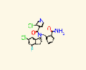 NC(=O)c1ccccc1CN(C(=O)c1ccncc1Cl)[C@@H]1CCc2c(F)cc(Cl)cc21